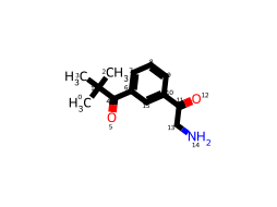 CC(C)(C)C(=O)c1cccc(C(=O)CN)c1